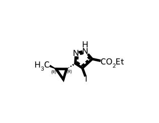 CCOC(=O)c1[nH]nc([C@@H]2C[C@H]2C)c1I